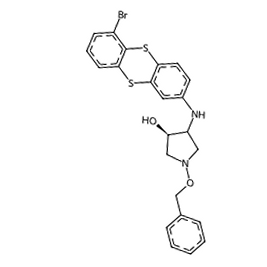 O[C@@H]1CN(OCc2ccccc2)CC1Nc1ccc2c(c1)Sc1cccc(Br)c1S2